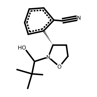 CC(C)(C)C(O)N1OCC[C@H]1c1ccccc1C#N